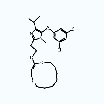 CC(C)c1nc(CCOC2=CCCCCCCCCCC2)n(C)c1Sc1cc(Cl)cc(Cl)c1